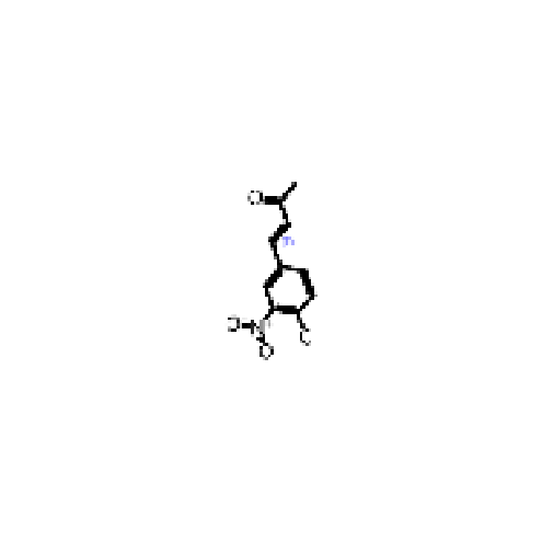 CC(=O)/C=C/c1ccc(Cl)c([N+](=O)[O-])c1